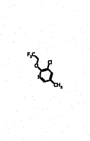 Cc1cnc(OCC(F)(F)F)c(Cl)c1